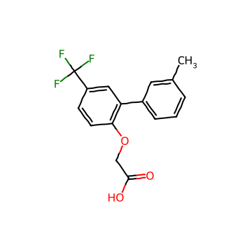 Cc1cccc(-c2cc(C(F)(F)F)ccc2OCC(=O)O)c1